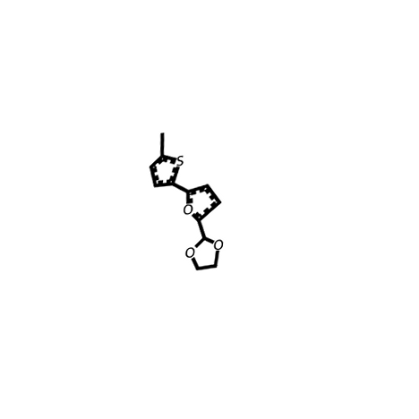 Cc1ccc(-c2ccc(C3OCCO3)o2)s1